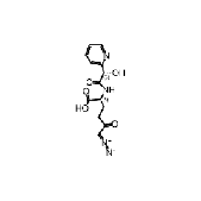 [N-]=[N+]=CC(=O)CC[C@H](NC(=O)[C@@H](O)c1ccccn1)C(=O)O